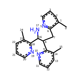 Cc1cccnc1CC(c1ncccc1C)C(N)c1ncccc1C